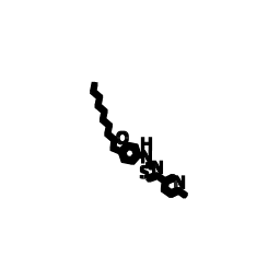 CCCCCCCCC1Cc2ccc(Nc3nc(-c4ccc(C)nc4)cs3)cc2O1